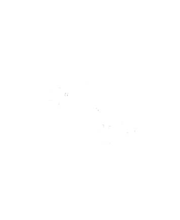 Cc1ccc(NC(=O)c2cccc(C(F)(F)F)c2)cc1N1OC(C)(C)C(C)(C)O1